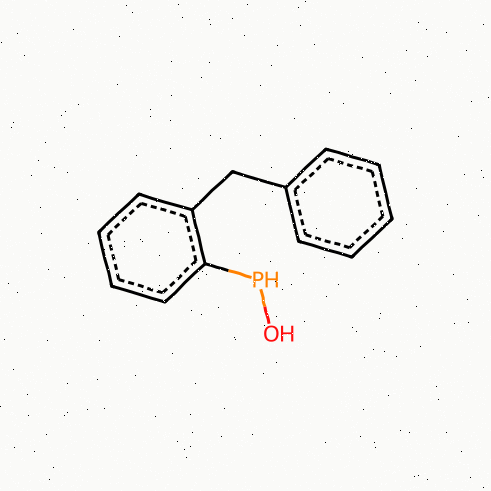 OPc1ccccc1Cc1ccccc1